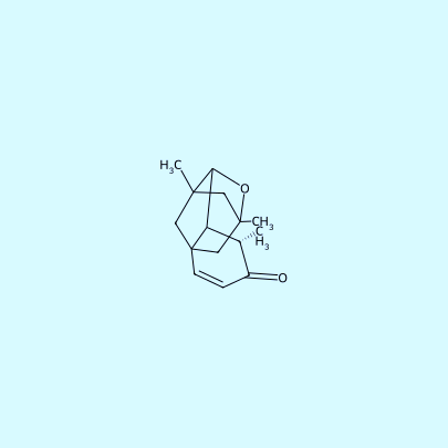 C[C@@H]1C(=O)C=CC23CC4(C)CC(C)(C2)C(O4)C13